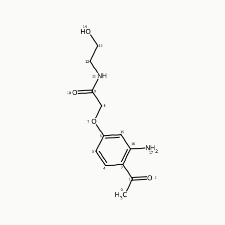 CC(=O)c1ccc(OCC(=O)NCCO)cc1N